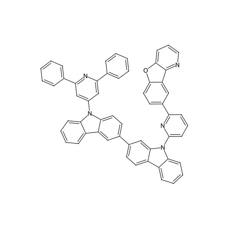 c1ccc(-c2cc(-n3c4ccccc4c4cc(-c5ccc6c7ccccc7n(-c7cccc(-c8ccc9oc%10cccnc%10c9c8)n7)c6c5)ccc43)cc(-c3ccccc3)n2)cc1